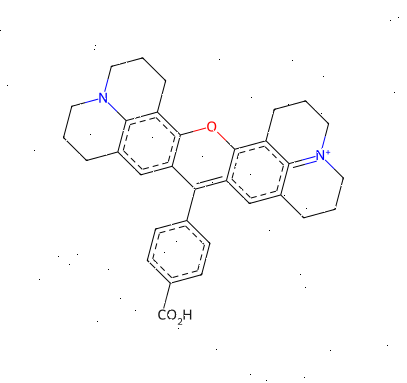 O=C(O)c1ccc(C2=c3cc4c5c(c3Oc3c2cc2c6c3CCCN6CCC2)CCC[N+]=5CCC4)cc1